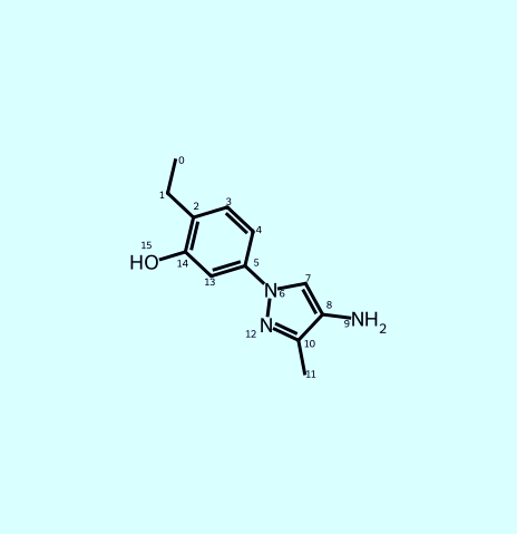 CCc1ccc(-n2cc(N)c(C)n2)cc1O